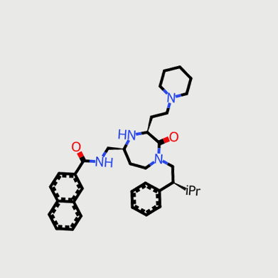 CC(C)[C@H](CN1CC[C@@H](CNC(=O)c2ccc3ccccc3c2)N[C@@H](CCN2CCCCC2)C1=O)c1ccccc1